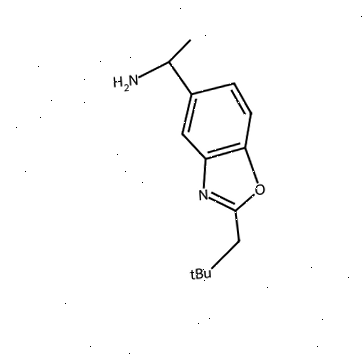 CC(N)c1ccc2oc(CC(C)(C)C)nc2c1